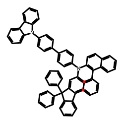 c1ccc(-c2c(N(c3ccc(-c4ccc(-n5c6ccccc6c6ccccc65)cc4)cc3)c3ccc4c(c3)C(c3ccccc3)(c3ccccc3)c3ccccc3-4)ccc3ccccc23)cc1